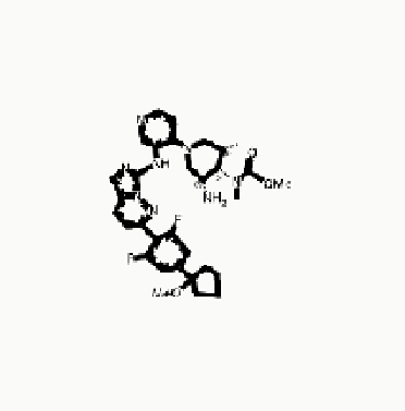 COC(=O)N(C)[C@@H]1[C@H](N)CN(c2ccncc2Nc2ncc3ccc(-c4c(F)cc(C5(OC)CCCC5)cc4F)nn23)C[C@@H]1C